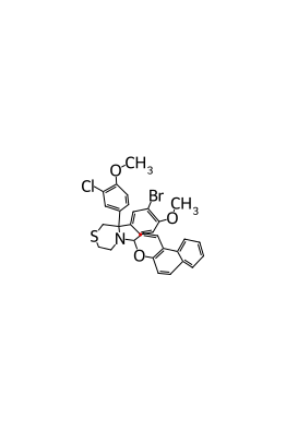 COc1ccc(C2(c3ccc(OC)c(Br)c3)CSCCN2C2C=Cc3c(ccc4ccccc34)O2)cc1Cl